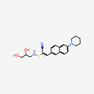 N#C/C(=C\c1ccc2cc(N3CCCCC3)ccc2c1)SNCC(O)CO